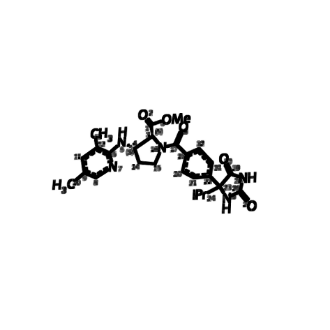 COC(=O)[C@@H]1[C@@H](Nc2ncc(C)cc2C)CCN1C(=O)c1ccc(C2(C(C)C)NC(=O)NC2=O)cc1